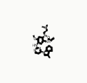 C=CC(=O)Nc1cc(Nc2nccc(-n3cc(C)c4ccccc43)n2)c(OC)cc1N(C)CCN(C)C